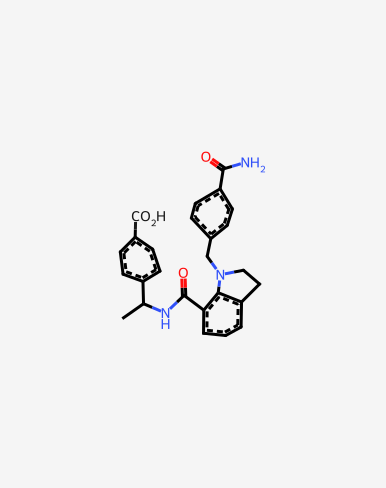 CC(NC(=O)c1cccc2c1N(Cc1ccc(C(N)=O)cc1)CC2)c1ccc(C(=O)O)cc1